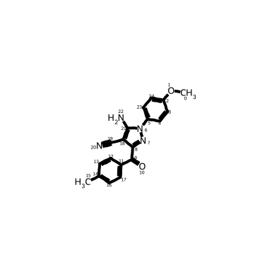 COc1ccc(-n2nc(C(=O)c3ccc(C)cc3)c(C#N)c2N)cc1